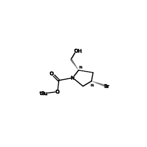 CC(C)(C)OC(=O)N1C[C@@H](Br)C[C@H]1CO